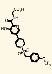 O=C(O)CNC(=O)c1ncc(C2=CCN(S(=O)(=O)Cc3ccc(OC(F)(F)F)cc3)CC2)cc1O